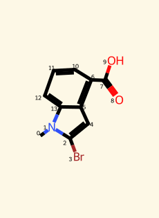 Cn1c(Br)cc2c(C(=O)O)cccc21